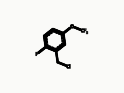 Fc1ccc(OC(F)(F)F)cc1CCl